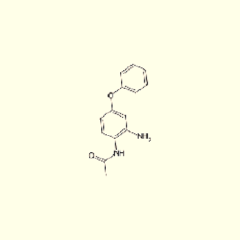 CC(=O)Nc1ccc(Oc2ccccc2)cc1N